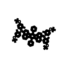 Cc1cc(OC(C)(C)C)ccc1N(c1ccc(OC(C)(C)C)cc1C)c1ccc2c3c(-c4ccccc4)c4c5ccc(N(c6ccc(OC(C)(C)C)cc6C)c6ccc(OC(C)(C)C)cc6C)c6cccc(c4c(-c4ccccc4)c3c3cccc1c32)c65